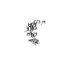 CC1=C[C@@H]2CN(C(=O)N2O[C@@H](F)C(=O)O)[C@@H]1C(=O)NOCC1CC(F)(F)CN1